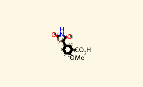 COc1ccc(C2SC(=O)NC2=O)cc1C(=O)O